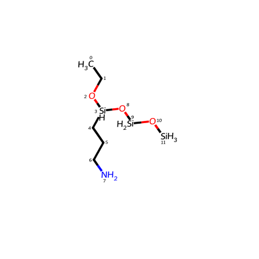 CCO[SiH](CCCN)O[SiH2]O[SiH3]